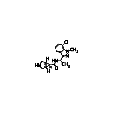 CC(NC(=O)[C@H]1[C@@H]2CNC[C@@H]21)c1nn(C)c2c(Cl)cccc12